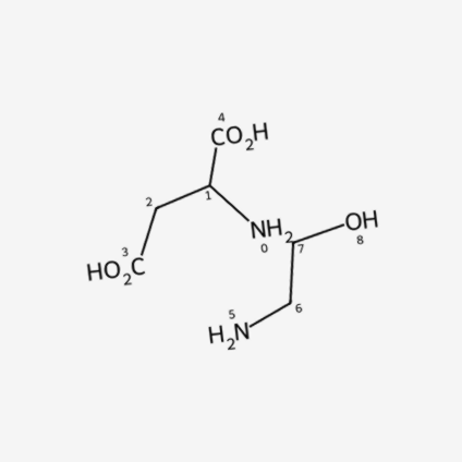 NC(CC(=O)O)C(=O)O.NCCO